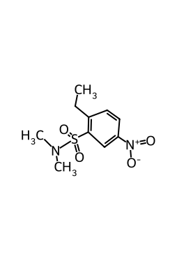 CCc1ccc([N+](=O)[O-])cc1S(=O)(=O)N(C)C